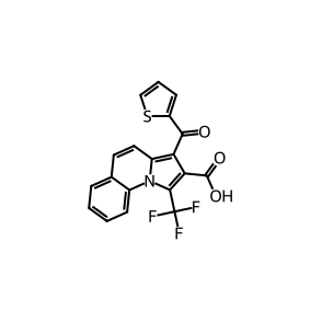 O=C(O)c1c(C(=O)c2cccs2)c2ccc3ccccc3n2c1C(F)(F)F